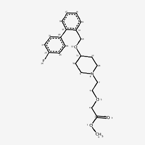 COC(=O)COCCN1CCC(OCc2ccccc2-c2ccc(F)cc2)CC1